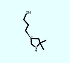 CC1(C)C[C@H](CCCO)CN1